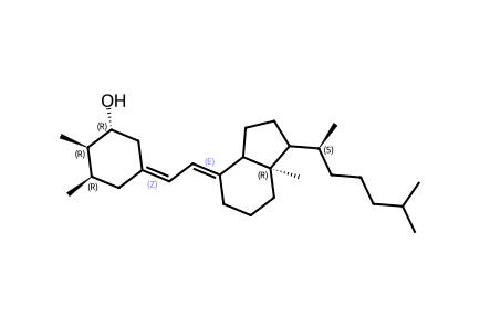 CC(C)CCC[C@H](C)C1CCC2/C(=C/C=C3/C[C@@H](C)[C@@H](C)[C@H](O)C3)CCC[C@@]21C